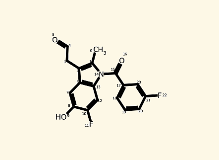 Cc1c(CC=O)c2cc(O)c(F)cc2n1C(=O)c1cccc(F)c1